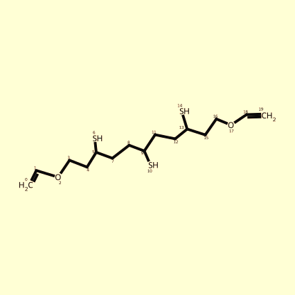 C=COCCC(S)CCC(S)CCC(S)CCOC=C